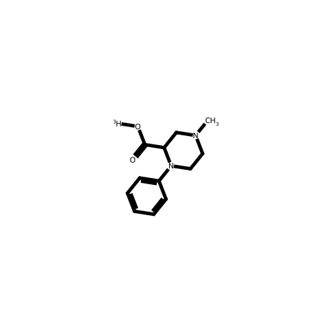 [3H]OC(=O)C1CN(C)CCN1c1ccccc1